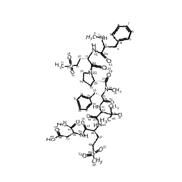 CN[C@@H](Cc1ccccc1)C(=O)N[C@@H](CCS(C)(=O)=O)C(=O)N1CCC[C@H]1C(=O)N(C)[C@@H](Cc1ccccc1)C(=O)N[C@H](C(=O)N[C@@H](CCS(C)(=O)=O)C(=O)N[C@@H](CC(=O)O)C(=O)O)C(C)(C)Cl